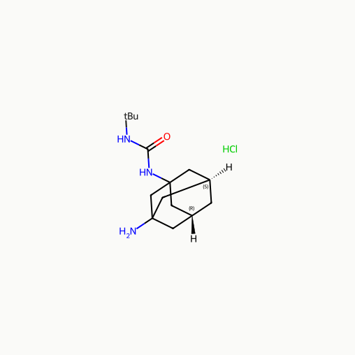 CC(C)(C)NC(=O)NC12C[C@@H]3C[C@@H](CC(N)(C3)C1)C2.Cl